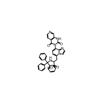 O=C(O)C(Cc1ccc(-n2c(=O)[nH]c3cnccc3c2=O)c2nccn12)NC(c1ccccc1)(c1ccccc1)c1ccccc1